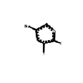 Brc1cnc(I)c(I)c1